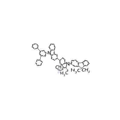 C=Cc1c(/C=C\C)c2cc(-c3ccc4c(c3)c3ccccc3n4-c3cc(-c4ccccc4)cc(-c4ccccc4)c3)ccc2n1-c1ccc2c(c1)C(C)(C)c1ccccc1-2